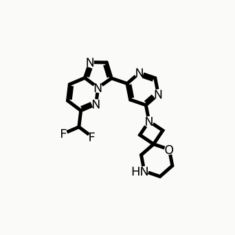 FC(F)c1ccc2ncc(-c3cc(N4CC5(CNCCO5)C4)ncn3)n2n1